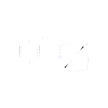 O=C(O)[C@@H]1C[C@@H]2CCC[C@@H]2N1Cc1ccccc1